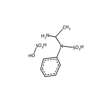 CC(N)N(c1ccccc1)S(=O)(=O)O.O=S(=O)(O)O